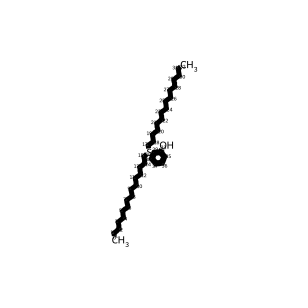 CCCCCCCCCCCCCCCCSCCCCCCCCCCCCCCCC.Oc1ccccc1